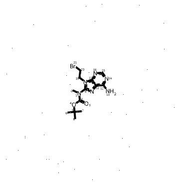 CN(C(=O)OC(C)(C)C)c1nc2c(N)ncnc2n1CCBr